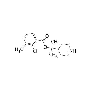 Cc1cccc(C(=O)OC(C)(C)C2CCNCC2)c1Cl